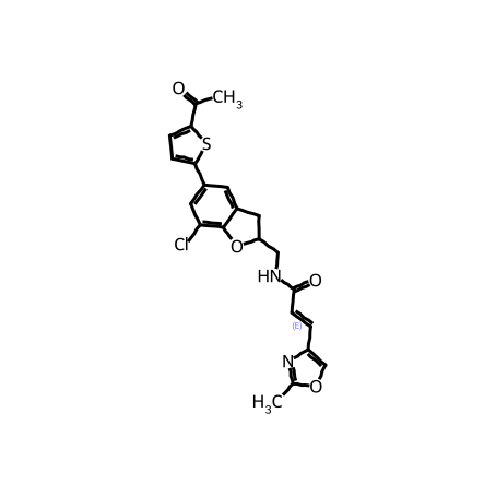 CC(=O)c1ccc(-c2cc(Cl)c3c(c2)CC(CNC(=O)/C=C/c2coc(C)n2)O3)s1